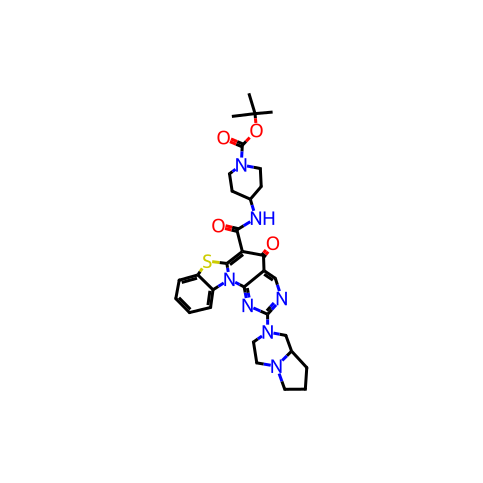 CC(C)(C)OC(=O)N1CCC(NC(=O)c2c(=O)c3cnc(N4CCN5CCCC5C4)nc3n3c2sc2ccccc23)CC1